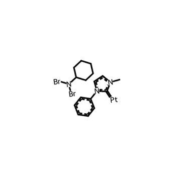 BrN(Br)C1CCCCC1.Cn1ccn(-c2ccccc2)[c]1=[Pt]